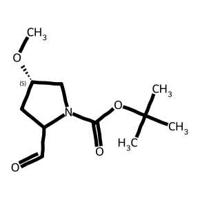 CO[C@H]1CC(C=O)N(C(=O)OC(C)(C)C)C1